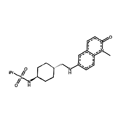 CC(C)S(=O)(=O)N[C@H]1CC[C@H](CNc2ccc3c(ccc(=O)n3C)c2)CC1